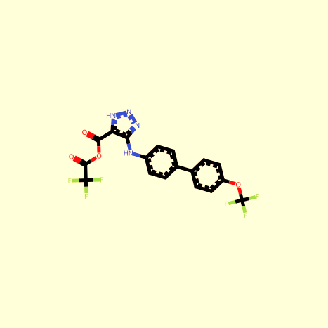 O=C(OC(=O)C(F)(F)F)c1[nH]nnc1Nc1ccc(-c2ccc(OC(F)(F)F)cc2)cc1